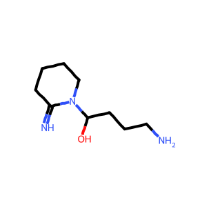 N=C1CCCCN1C(O)CCCN